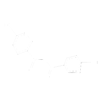 Cc1ccc(S(=O)OS(=O)c2ccc(C)cc2)cc1